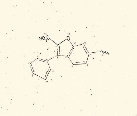 COc1ccc2c(-c3ccccc3)c(C(=O)O)oc2c1